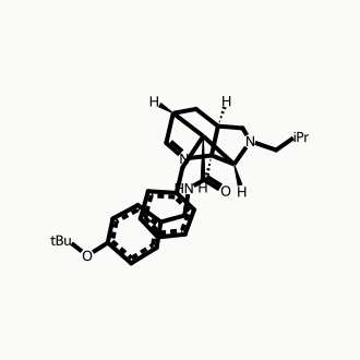 CC(C)CN1C[C@@H]2C[C@H]3C=N[C@]2(C(=O)NCc2ccc(OC(C)(C)C)cc2)[C@@H]1[C@@H]3Cc1ccccc1